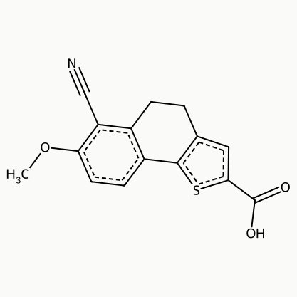 COc1ccc2c(c1C#N)CCc1cc(C(=O)O)sc1-2